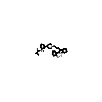 CC(C)C(=O)Nc1cccc(C2CCN(CCCc3c(-c4ccccc4Br)[nH]c4ccccc34)CC2)c1